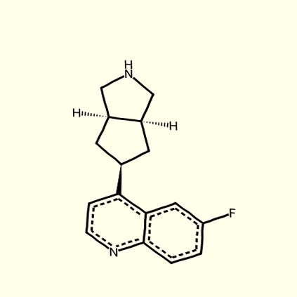 Fc1ccc2nccc([C@H]3C[C@H]4CNC[C@H]4C3)c2c1